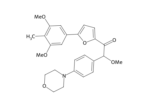 COc1cc(-c2ccc(C(=O)C(OC)c3ccc(N4CCOCC4)cc3)o2)cc(OC)c1C